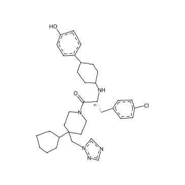 O=C([C@@H](Cc1ccc(Cl)cc1)NC1CCC(c2ccc(O)cc2)CC1)N1CCC(Cn2cncn2)(C2CCCCC2)CC1